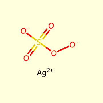 O=S(=O)([O-])O[O-].[Ag+2]